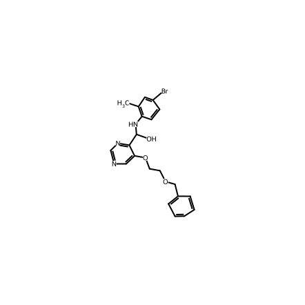 Cc1cc(Br)ccc1NC(O)c1ncncc1OCCOCc1ccccc1